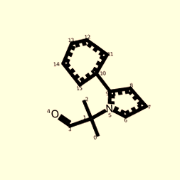 CC(C)(C=O)n1cccc1-c1ccccc1